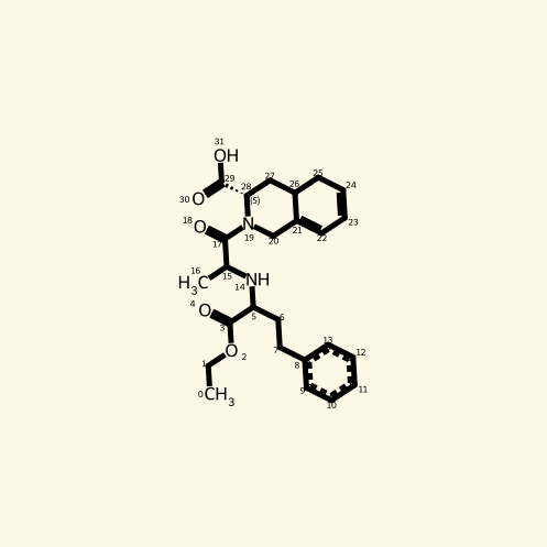 CCOC(=O)C(CCc1ccccc1)NC(C)C(=O)N1CC2=CC=CCC2C[C@H]1C(=O)O